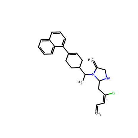 C=C/C=C(/Cl)CC1NCC(=C)N1C(C)C1CC=C(c2cccc3ccccc23)CC1